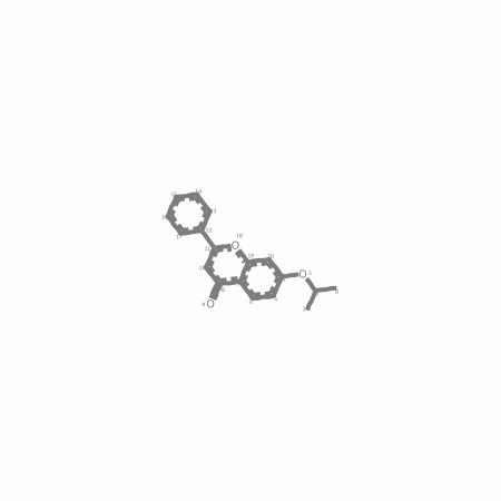 CC(C)Oc1ccc2c(=O)cc(-c3ccccc3)oc2c1